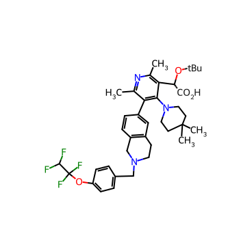 Cc1nc(C)c(C(OC(C)(C)C)C(=O)O)c(N2CCC(C)(C)CC2)c1-c1ccc2c(c1)CCN(Cc1ccc(OC(F)(F)C(F)F)cc1)C2